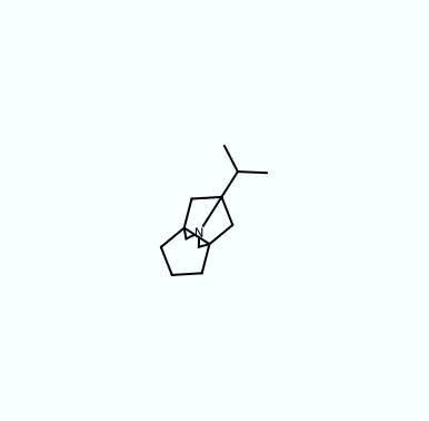 CC(C)N1CC23CCCC2(CCC3)C1